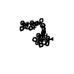 O=C(N[C@@H](C(=O)NC12CCC(CN3CCC(C(=O)N4CCN(C(=O)c5cc(Cc6n[nH]c(=O)c7ccccc67)ccc5F)CC4)CC3)(CC1)OC2)C1CCCCC1)c1cccc(C2CCCN(C(=O)C3CC3)C2)c1F